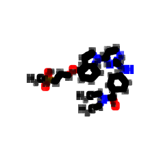 CCN(CC)C(=O)[C@H]1CC[C@H](Nc2nccc(-n3ccc4c(OCCCS(C)(=O)=O)cccc43)n2)CC1